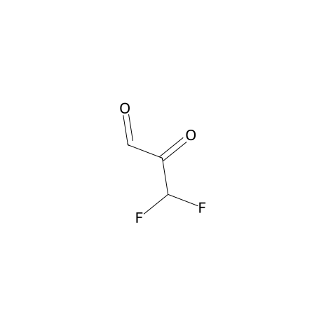 O=CC(=O)C(F)F